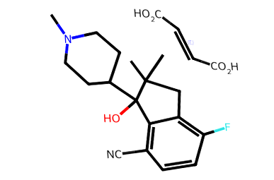 CN1CCC(C2(O)c3c(C#N)ccc(F)c3CC2(C)C)CC1.O=C(O)/C=C/C(=O)O